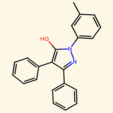 Cc1cccc(-n2nc(-c3ccccc3)c(-c3ccccc3)c2O)c1